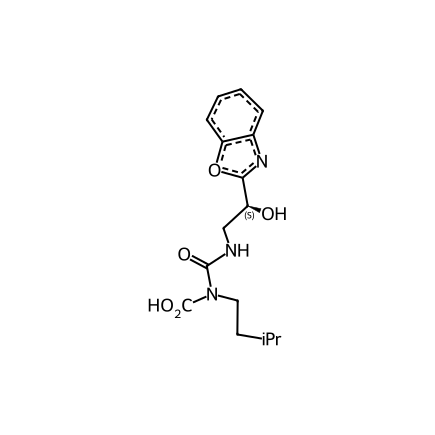 CC(C)CCN(C(=O)O)C(=O)NC[C@H](O)c1nc2ccccc2o1